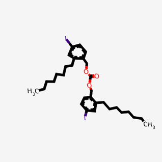 CCCCCCCCc1cc(I)ccc1COC(=O)OCc1ccc(I)cc1CCCCCCCC